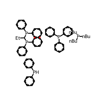 CCC(P(c1ccccc1)c1ccccc1)P(c1ccccc1)c1ccccc1.CCCCP(CCCC)CCCC.c1ccc(P(c2ccccc2)c2ccccc2)cc1.c1ccc(Pc2ccccc2)cc1